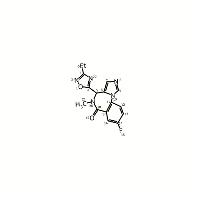 CCc1noc(C2c3cncn3-c3ccc(F)cc3C(=O)N2C)n1